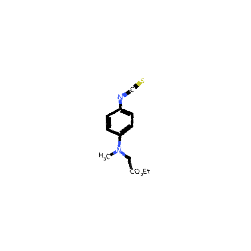 CCOC(=O)CN(C)c1ccc(N=C=S)cc1